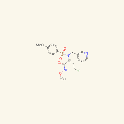 COc1ccc(S(=O)(=O)N(Cc2cccnc2)[C@H](CCF)C(=O)NOC(C)(C)C)cc1